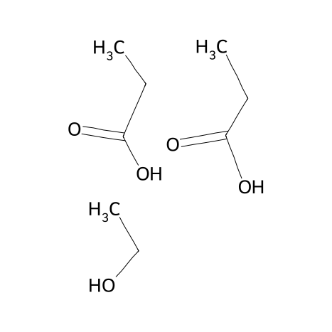 CCC(=O)O.CCC(=O)O.CCO